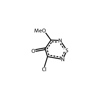 COc1nsnc(Cl)c1=O